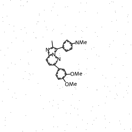 CNc1ccc(-c2c(C)nc3ccc(-c4ccc(OC)c(OC)c4)nn23)cc1